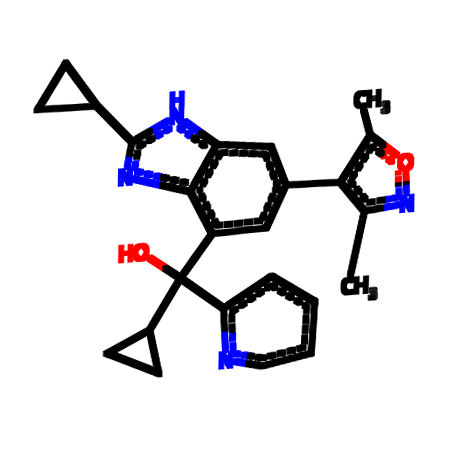 Cc1noc(C)c1-c1cc(C(O)(c2ccccn2)C2CC2)c2nc(C3CC3)[nH]c2c1